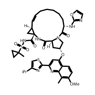 COc1ccc2c(O[C@@H]3C[C@H]4C(=O)N[C@]5(C(=O)NS(=O)(=O)C6(C)CC6)C[C@H]5/C=C\CCCCC[C@H](Nc5ncco5)C(=O)N4C3)cc(-c3nc(C(C)C)cs3)nc2c1C